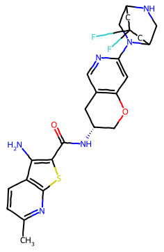 Cc1ccc2c(N)c(C(=O)N[C@H]3COc4cc(N5CC6CC(F)(F)CC5CN6)ncc4C3)sc2n1